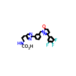 O=C(O)NC/C=C\c1cnc(-c2cccc(Cn3nc(-c4cc(F)c(F)c(F)c4)ccc3=O)c2)nc1